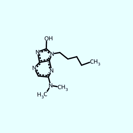 CCCCCn1c(O)nc2ncc(N(C)C)nc21